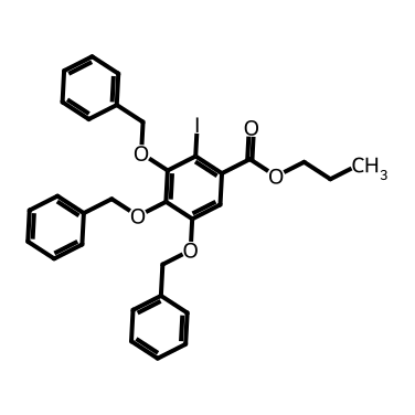 CCCOC(=O)c1cc(OCc2ccccc2)c(OCc2ccccc2)c(OCc2ccccc2)c1I